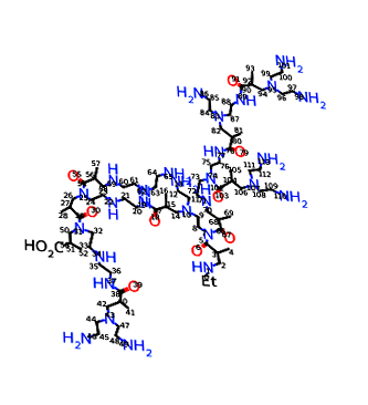 CCNCC(C)C(=O)N(CCN(CCN)CC(C)C(=O)NCCNCCN(CC(C)C(=O)N(CCNCCNC(=O)C(C)CN(CCN)CCN)CC(C)C(=O)O)C(=O)C(C)CNCCNCCN)C(=O)C(C)CNCCN(CCNC(=O)C(C)CN(CCN)CCNC(=O)C(C)CN(CCN)CCN)C(=O)C(C)CN(CCN)CCN